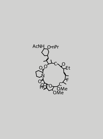 CCCOC1CC(C=C(C)C2OC(=O)C3CCCCN3C(=O)C(=O)C3(O)OC(C(OC)CC(C)C(F)/C(C)=C/C(CC)C(=O)CCC2C)C(OC)CC3C)CCC1NC(C)=O